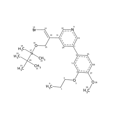 CCCOc1cc(-c2cncc(/C(=C/Br)CO[Si](C)(C)C(C)(C)C)c2)ccc1OC